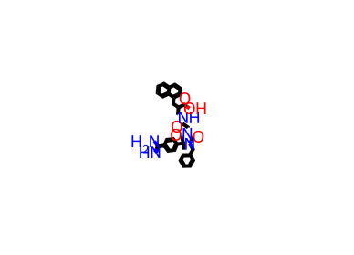 CC1(c2ccc(C(=N)N)cc2)C(=O)N(CC(=O)NCC(Cc2cccc3ccccc23)C(=O)O)C(=O)N1Cc1ccccc1